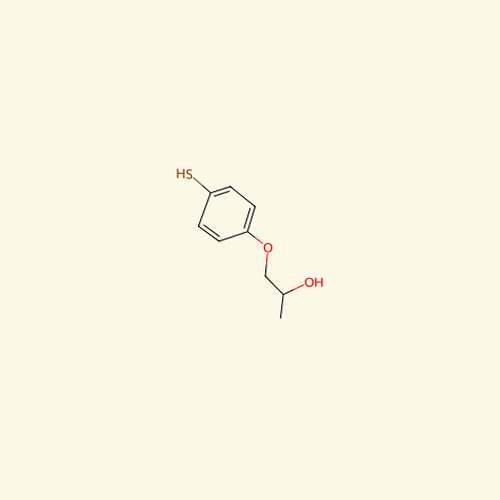 CC(O)COc1ccc(S)cc1